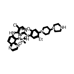 CCc1cc(Nc2ncc(Cl)c(Nc3ccc4nccnc4c3NS(C)(=O)=O)n2)c(OC)cc1N1CCC(N2CCNCC2)CC1